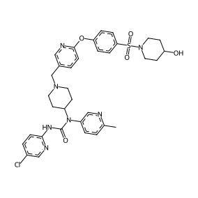 Cc1ccc(N(C(=O)Nc2ccc(Cl)cn2)C2CCN(Cc3ccc(Oc4ccc(S(=O)(=O)N5CCC(O)CC5)cc4)nc3)CC2)cn1